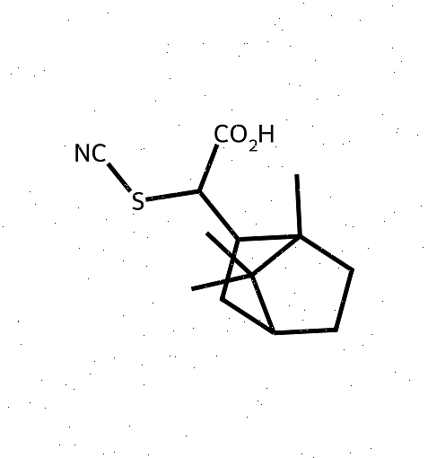 CC1(C)C2CCC1(C)C(C(SC#N)C(=O)O)C2